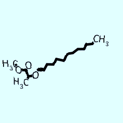 CCCCCCCCCCCC=COC(C)C(=O)OC